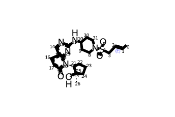 C/C=C/CS(=O)(=O)N1CCC(Nc2ncc3ccc(=O)n([C@@H]4CCC[C@@]4(C)O)c3n2)CC1